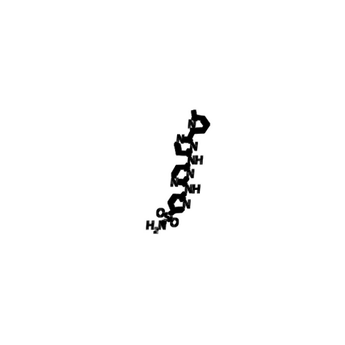 Cc1cccc(-c2nccc(Nc3ccnc(Nc4ccc(S(N)(=O)=O)cn4)n3)n2)n1